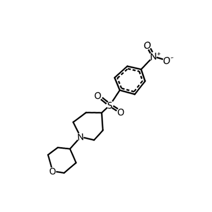 O=[N+]([O-])c1ccc(S(=O)(=O)C2CCN(C3CCOCC3)CC2)cc1